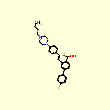 CCCCN1CCN(c2ccc(C=Cc3cc(-c4ccc(F)cc4)ccc3C(=O)O)cc2)CC1